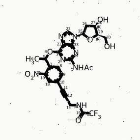 CC(=O)Nc1nc(OC(C)c2ccc(C#CCNC(=O)C(F)(F)F)cc2[N+](=O)[O-])c2ncn([C@H]3C[C@@H](O)[C@@H](CO)O3)c2n1